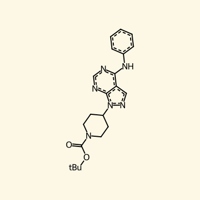 CC(C)(C)OC(=O)N1CCC(n2ncc3c(Nc4ccccc4)ncnc32)CC1